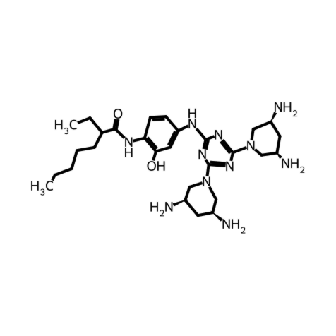 CCCCCC(CC)C(=O)Nc1ccc(Nc2nc(N3C[C@H](N)C[C@H](N)C3)nc(N3C[C@H](N)C[C@H](N)C3)n2)cc1O